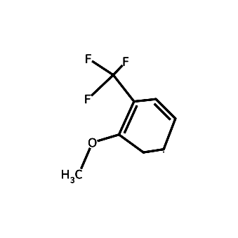 COC1=C(C(F)(F)F)C=C[CH]C1